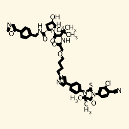 CC(C)(C)[C@H](NC(=O)COCCCCn1cc(-c2ccc(N3C(=S)N(c4ccc(C#N)c(Cl)c4)C(=O)C3(C)C)cc2)cn1)C(=O)N1C[C@H](O)C[C@H]1C(=O)NCc1ccc(-c2cnco2)cc1